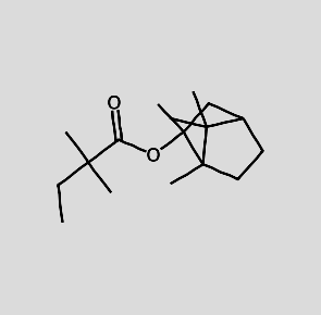 CCC(C)(C)C(=O)OC1(C)CC2CCC1(C)C2(C)C